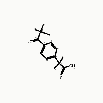 CC(C)(C)C(=O)c1ccc(C(C)(C)C(=O)O)cc1